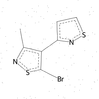 Cc1nsc(Br)c1-c1ccsn1